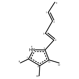 CC=CC=Cc1[nH]c(C)c(C)c1C